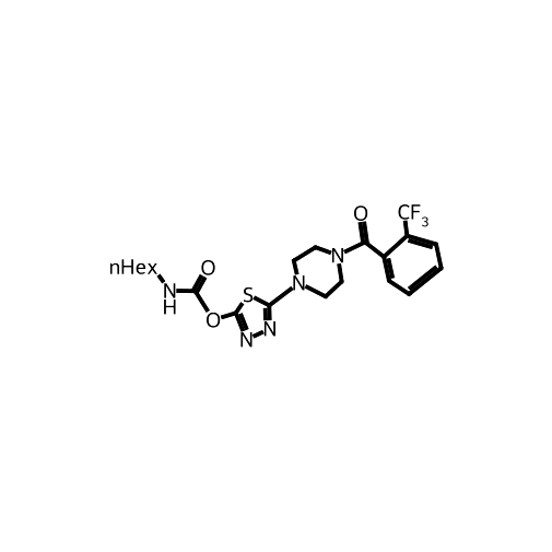 CCCCCCNC(=O)Oc1nnc(N2CCN(C(=O)c3ccccc3C(F)(F)F)CC2)s1